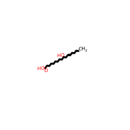 CCCCCC=CC[C@@H](O)CCCCCCCCC(=O)O